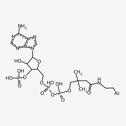 CC(=O)CCNC(=O)CC(C)(C)COP(=O)(O)OP(=O)(O)OCC1OC(n2cnc3c(N)ncnc32)C(O)C1OP(=O)(O)O